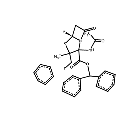 CC(=O)NC1(C(=O)OC(c2ccccc2)c2ccccc2)N2C(=O)C[C@H]2SC1(C)CI.c1ccccc1